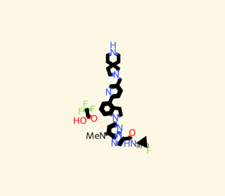 CNc1cc(N2CCc3c(-c4ccc(CN5CCC6(CCNCC6)C5)cn4)cccc32)nn2c(C(=O)N[C@@H]3C[C@@H]3F)cnc12.O=C(O)C(F)(F)F